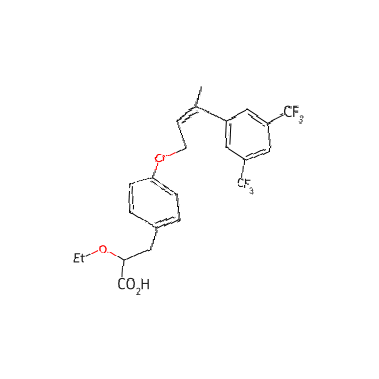 CCOC(Cc1ccc(OCC=C(C)c2cc(C(F)(F)F)cc(C(F)(F)F)c2)cc1)C(=O)O